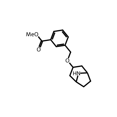 COC(=O)c1cccc(COC2CC3CCC(C2)N3)c1